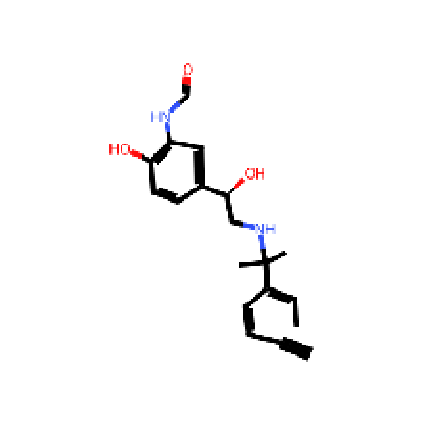 C#C/C=C\C(=C/C)C(C)(C)NC[C@H](O)c1ccc(O)c(NC=O)c1